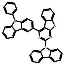 c1ccc(-n2c3ccccc3c3cc(-c4nc(-n5c6ccccc6c6ccccc65)nc5sc6ccccc6c45)ccc32)cc1